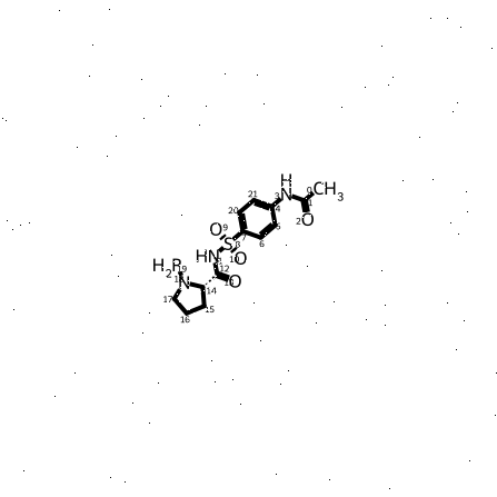 CC(=O)Nc1ccc(S(=O)(=O)NC(=O)[C@@H]2CCCN2P)cc1